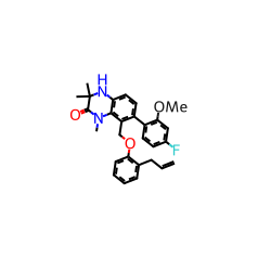 C=CCc1ccccc1OCc1c(-c2ccc(F)cc2OC)ccc2c1N(C)C(=O)C(C)(C)N2